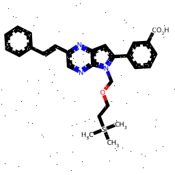 C[Si](C)(C)CCOCn1c(-c2cccc(C(=O)O)c2)cc2nc(/C=C/c3ccccc3)cnc21